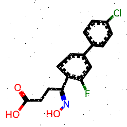 O=C(O)CCC(=NO)c1ccc(-c2ccc(Cl)cc2)cc1F